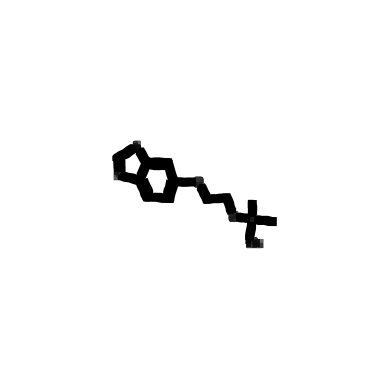 CC(C)(C)[Si](C)(C)OCCOc1ccc2n[c]sc2c1